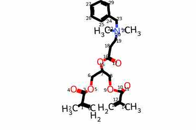 C=C(C)C(=O)OCC(COC(=O)C(=C)C)OC(=O)CC[N+](C)(C)Cc1ccccc1